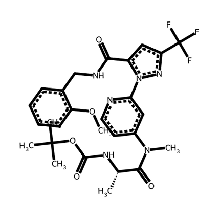 COc1ccccc1CNC(=O)c1cc(C(F)(F)F)nn1-c1cc(N(C)C(=O)[C@H](C)NC(=O)OC(C)(C)C)ccn1